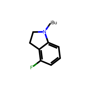 CCC(C)N1CCc2c(F)cccc21